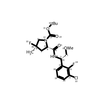 COC[C@@H](NC(=O)[C@@H]1C[C@@](C)(F)CN1C(=O)OC(C)(C)C)c1cccc(Cl)c1F